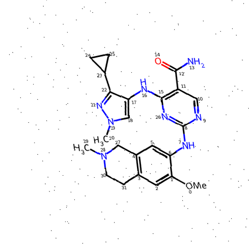 COc1cc2c(cc1Nc1ncc(C(N)=O)c(Nc3cn(C)nc3C3CC3)n1)CN(C)CC2